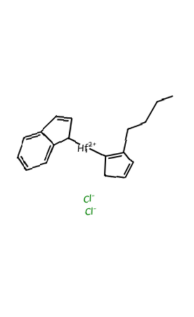 CCCCC1=[C]([Hf+2][CH]2C=Cc3ccccc32)CC=C1.[Cl-].[Cl-]